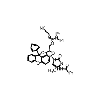 Cc1cn([C@H]2C[C@H](OC3(c4ccccc4)c4ccccc4Oc4ccccc43)[C@@H](COP(OCCC#N)N(C(C)C)C(C)C)O2)c(=O)nc1NC(=O)C(C)C